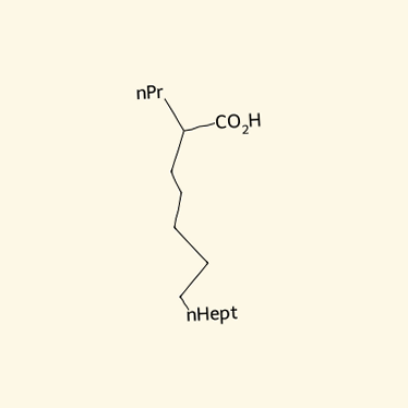 CCCCCCCCCCCCC(CCC)C(=O)O